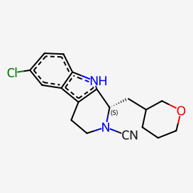 N#CN1CCc2c([nH]c3ccc(Cl)cc23)[C@@H]1CC1CCCOC1